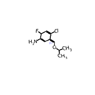 CC(C)O/C=C1\C=C(N)C(F)C=C1Cl